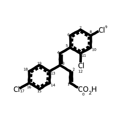 O=C(O)C=CC(=Cc1ccc(Cl)cc1Cl)c1ccc(Cl)cc1